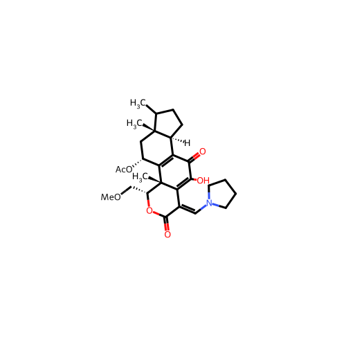 COC[C@H]1OC(=O)/C(=C/N2CCCC2)C2=C(O)C(=O)C3=C([C@H](OC(C)=O)C[C@]4(C)C(C)CC[C@@H]34)[C@]21C